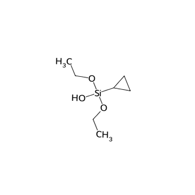 CCO[Si](O)(OCC)C1CC1